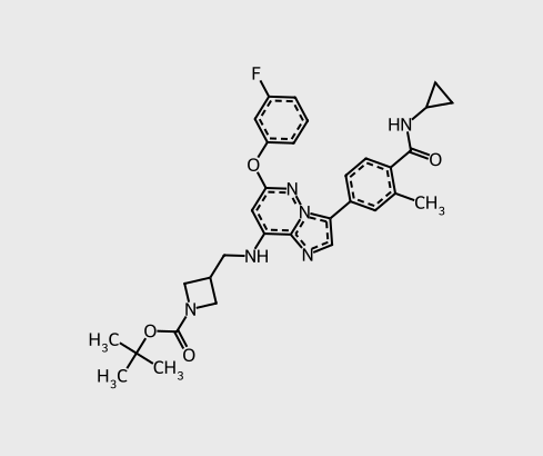 Cc1cc(-c2cnc3c(NCC4CN(C(=O)OC(C)(C)C)C4)cc(Oc4cccc(F)c4)nn23)ccc1C(=O)NC1CC1